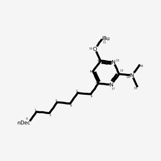 CCCCCCCCCCCCCCCCc1cc(OC(C)CC)nc(N(C)C)n1